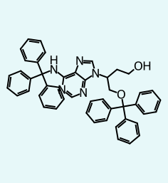 OCCC(COC(c1ccccc1)(c1ccccc1)c1ccccc1)n1cnc2c(NC(c3ccccc3)(c3ccccc3)c3ccccc3)ncnc21